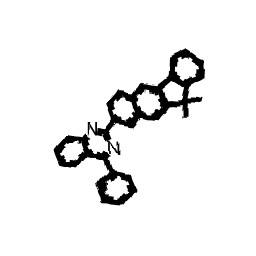 CC1(C)c2ccccc2-c2cc3ccc(-c4nc(-c5ccccc5)c5ccccc5n4)cc3cc21